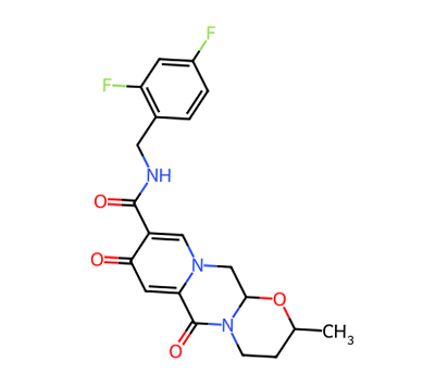 CC1CCN2C(=O)c3cc(=O)c(C(=O)NCc4ccc(F)cc4F)cn3CC2O1